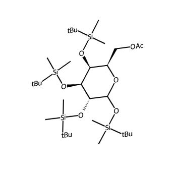 CC(=O)OC[C@H]1OC(O[Si](C)(C)C(C)(C)C)[C@H](O[Si](C)(C)C(C)(C)C)[C@@H](O[Si](C)(C)C(C)(C)C)[C@H]1O[Si](C)(C)C(C)(C)C